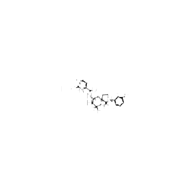 Cc1nccc(C(=O)N[C@H]2CC(F)(F)C[C@]3(CCN(c4cccc(F)c4)C3=O)C2)n1